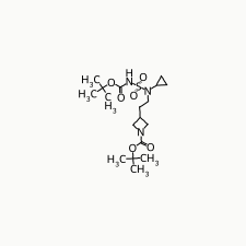 CC(C)(C)OC(=O)NS(=O)(=O)N(CCC1CN(C(=O)OC(C)(C)C)C1)C1CC1